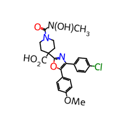 COc1ccc(-c2oc(C3(C(=O)O)CCN(C(=O)N(C)O)CC3)nc2-c2ccc(Cl)cc2)cc1